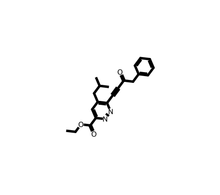 CCOC(=O)c1cc(CC(C)C)c(C#CC(=O)Cc2ccccc2)nn1